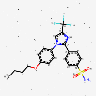 CCCCOc1ccc(-n2cc(C(F)(F)F)nc2-c2ccc(S(N)(=O)=O)cc2)cc1